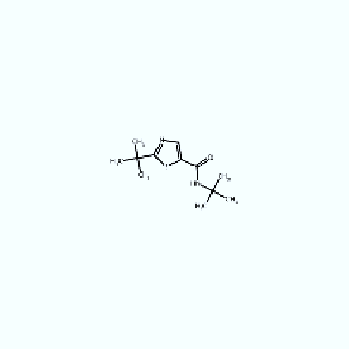 CC(C)(C)NC(=O)c1cnc(C(C)(C)C)s1